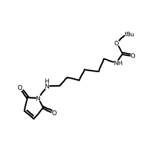 CC(C)(C)OC(=O)NCCCCCCNN1C(=O)C=CC1=O